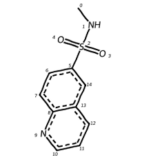 CNS(=O)(=O)c1ccc2ncccc2c1